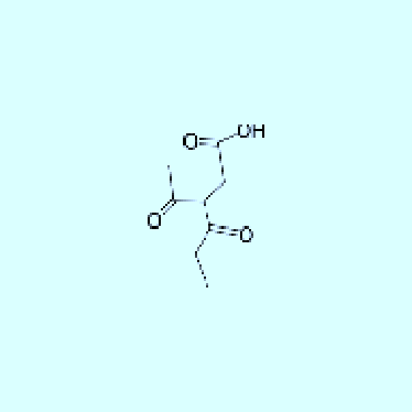 CCC(=O)C(CC(=O)O)C(C)=O